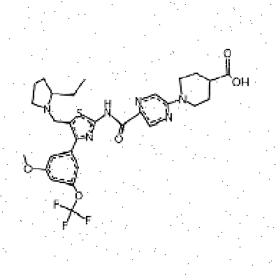 CC[C@@H]1CCCN1Cc1sc(NC(=O)c2cnc(N3CCC(C(=O)O)CC3)cn2)nc1-c1cc(OC)cc(OC(F)(F)F)c1